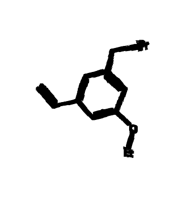 C=Cc1cc(CC(C)C)cc(OCC)c1